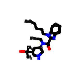 COCCCCn1c(C(=O)N(CC(C)C)[C@@H]2CNCC(C(C)(C)O)C2)nc2ccccc21